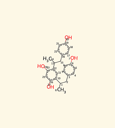 CC(Cc1ccc(O)cc1)c1cc(C(C)Cc2ccc(O)cc2)c(O)cc1O